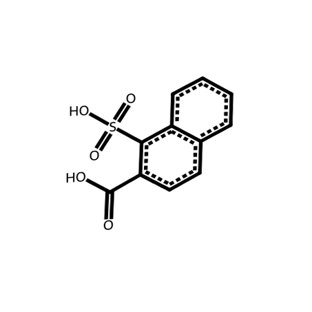 O=C(O)c1ccc2ccccc2c1S(=O)(=O)O